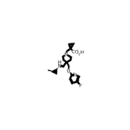 C[C@@H]1C[C@H]1NCC1(COc2ccc(F)cn2)CCN(CC2(C(=O)O)CC2)CC1